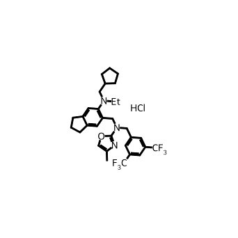 CCN(CC1CCCC1)c1cc2c(cc1CN(Cc1cc(C(F)(F)F)cc(C(F)(F)F)c1)c1nc(C)co1)CCC2.Cl